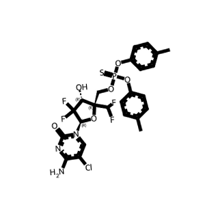 Cc1ccc(OP(=S)(OC[C@@]2(C(F)F)O[C@@H](n3cc(Cl)c(N)nc3=O)C(F)(F)[C@@H]2O)Oc2ccc(C)cc2)cc1